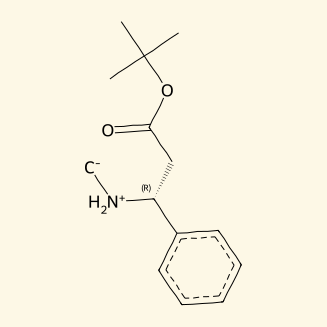 [CH2-][NH2+][C@H](CC(=O)OC(C)(C)C)c1ccccc1